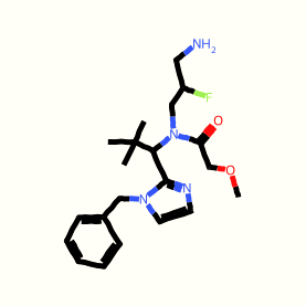 COCC(=O)N(CC(F)CN)C(c1nccn1Cc1ccccc1)C(C)(C)C